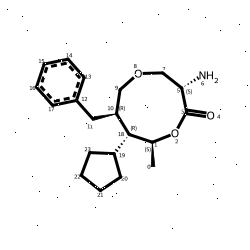 C[C@@H]1OC(=O)[C@@H](N)COC[C@H](Cc2ccccc2)[C@H]1C1CCCC1